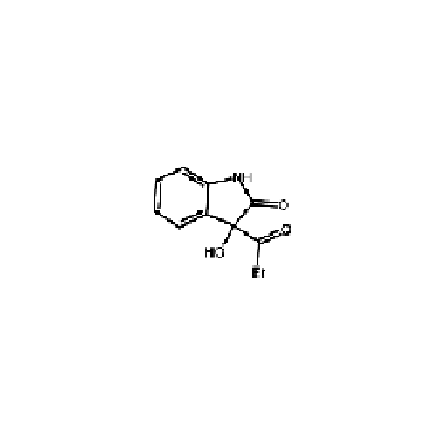 CCC(=O)C1(O)C(=O)Nc2ccccc21